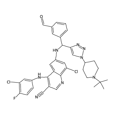 CC(C)(C)N1CCC(n2cc(C(Nc3cc(Cl)c4ncc(C#N)c(Nc5ccc(F)c(Cl)c5)c4c3)c3cccc(C=O)c3)nn2)CC1